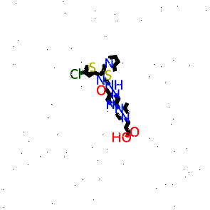 CC1CCCN1Cc1sc(NC(=O)c2cnc(N3CCN(CCC(=O)O)CC3C)cn2)nc1-c1cc(Cl)cs1